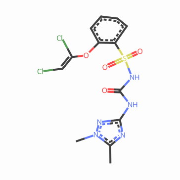 Cc1nc(NC(=O)NS(=O)(=O)c2ccccc2OC(Cl)=CCl)nn1C